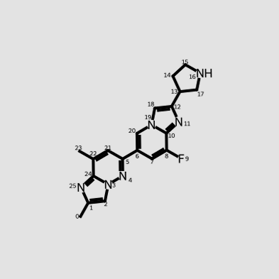 Cc1cn2nc(-c3cc(F)c4nc(C5CCNC5)cn4c3)cc(C)c2n1